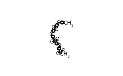 Cc1ccc(Oc2ccc(S(=O)(=O)c3ccc(Oc4ccc(N5C(=O)c6ccc(Oc7ccc8c(c7)C(=O)C(C)C8=O)cc6C5=O)cc4)cc3)cc2)cc1